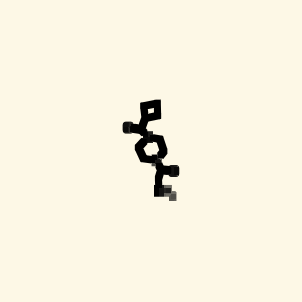 NCC(=O)N1CCN(C(=O)C2CCC2)CC1